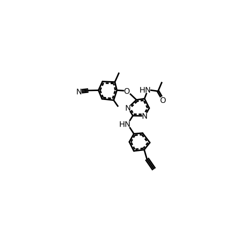 C#Cc1ccc(Nc2ncc(NC(C)=O)c(Oc3c(C)cc(C#N)cc3C)n2)cc1